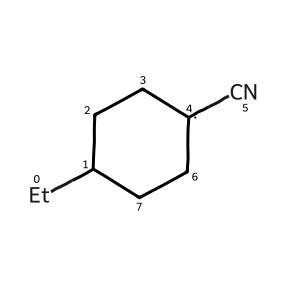 CCC1CC[C](C#N)CC1